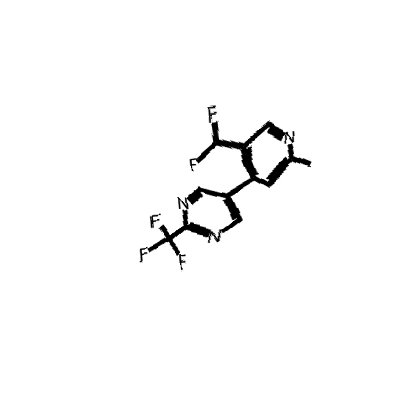 Cc1cc(-c2cnc(C(F)(F)F)nc2)c(C(F)F)cn1